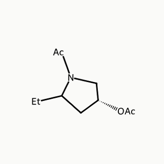 CCC1C[C@@H](OC(C)=O)CN1C(C)=O